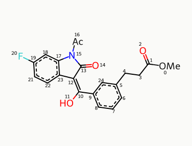 COC(=O)CCc1cccc(C(O)=C2C(=O)N(C(C)=O)c3cc(F)ccc32)c1